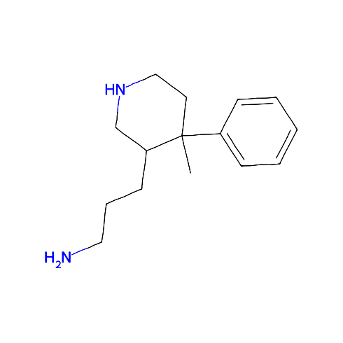 CC1(c2ccccc2)CCNCC1CCCN